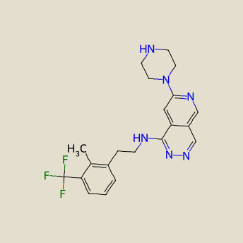 Cc1c(CCNc2nncc3cnc(N4CCNCC4)cc23)cccc1C(F)(F)F